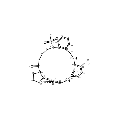 CS(=O)(=O)N1CCCC(=O)N2CCc3cc(ccc32)Nc2ncc(C(F)(F)F)c(n2)NCc2ccccc21